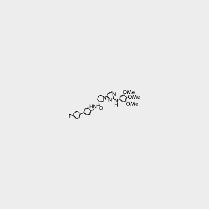 COc1cc(Nc2nccc(N3CCC[C@H](C(=O)NCc4ccc(-c5ccc(F)cc5)cc4)C3)n2)cc(OC)c1OC